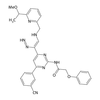 COC(C)c1cccc(CN/C=C(\N=N)c2cc(-c3cccc(C#N)c3)nc(NC(=O)COc3ccccc3)n2)n1